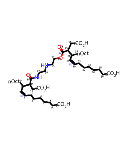 CCCCCCCCC(/C=C\CCCCCCC(=O)O)C(CC(=O)O)C(=O)NCCNCCOC(=O)C(CC(=O)O)C(/C=C\CCCCCCC(=O)O)CCCCCCCC